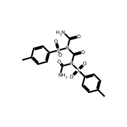 Cc1ccc(S(=O)(=O)N(C(N)=O)C(=O)N(C(N)=O)S(=O)(=O)c2ccc(C)cc2)cc1